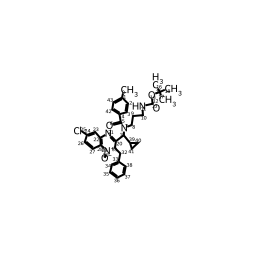 Cc1ccc(C(=O)N(CCCNC(=O)OC(C)(C)C)C(c2nc3cc(Cl)ccc3[n+]([O-])c2Cc2ccccc2)C2CC2)cc1